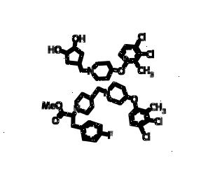 COC(=O)C(Cc1ccc(F)cc1)N1CCC(CN2CCC(Oc3ccc(Cl)c(Cl)c3C)CC2)CC1.Cc1c(OC2CCN(CC3CC(O)C(O)C3)CC2)ccc(Cl)c1Cl